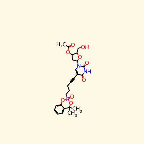 CC(=O)OC1CC(n2cc(C#CCCCP3(=O)Oc4ccccc4C(C)(C)O3)c(=O)[nH]c2=O)OC1CO